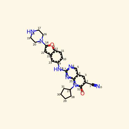 N#Cc1cc2cnc(Nc3ccc4oc(N5CCNCC5)cc4c3)nc2n(C2CCCC2)c1=O